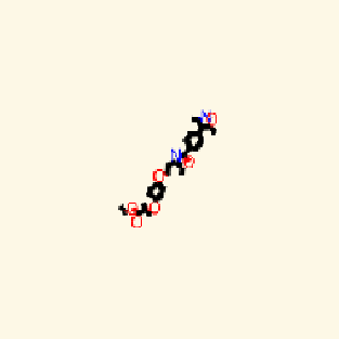 CCOC(=O)C(C)(C)Oc1ccc(OCCc2nc(-c3ccc(-c4c(C)noc4C)cc3)oc2C)cc1